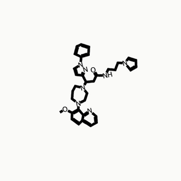 COc1ccc2cccnc2c1N1CCCN(C(CC(=O)NCCCn2cccc2)c2ccn(-c3ccccc3)n2)CC1